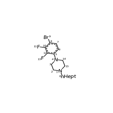 CCCCCCCN1CCN(c2ccc(Br)c(F)c2F)CC1